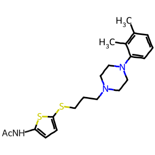 CC(=O)Nc1ccc(SCCCN2CCN(c3cccc(C)c3C)CC2)s1